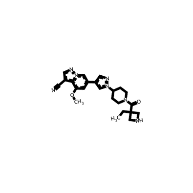 CCC1(C(=O)N2CCC(n3cc(-c4cc(OC)c5c(C#N)cnn5c4)cn3)CC2)CNC1